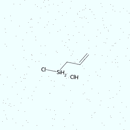 C=CC[SiH2]Cl.Cl